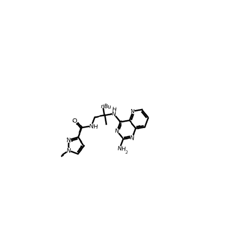 CCCCC(C)(CNC(=O)c1ccn(C)n1)Nc1nc(N)nc2cccnc12